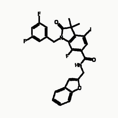 CC1(C)C(=O)N(Cc2cc(F)cc(F)c2)c2c(F)c(C(=O)NCc3cc4ccccc4o3)cc(I)c21